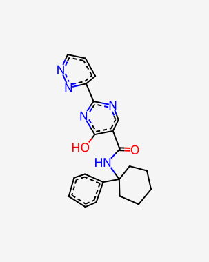 O=C(NC1(c2ccccc2)CCCCC1)c1cnc(-c2cccnn2)nc1O